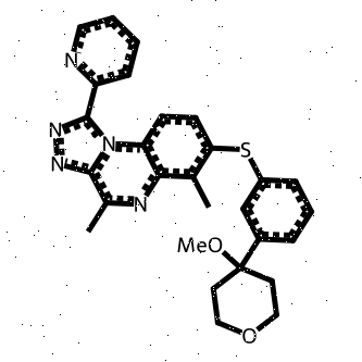 COC1(c2cccc(Sc3ccc4c(nc(C)c5nnc(-c6ccccn6)n54)c3C)c2)CCOCC1